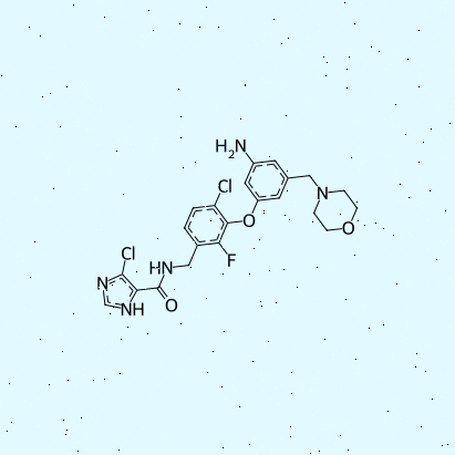 Nc1cc(CN2CCOCC2)cc(Oc2c(Cl)ccc(CNC(=O)c3[nH]cnc3Cl)c2F)c1